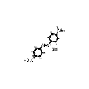 CN(C)c1ccc(N=Nc2ccc(C(=O)O)cc2)cc1.[NaH]